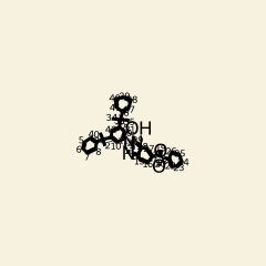 CC(C)(c1ccccc1)c1cc(-n2nc3ccc(S(=O)(=O)c4ccccc4)cc3n2)c(O)c(C(C)(C)c2ccccc2)c1